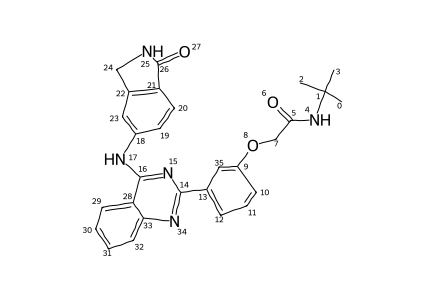 CC(C)(C)NC(=O)COc1cccc(-c2nc(Nc3ccc4c(c3)CNC4=O)c3ccccc3n2)c1